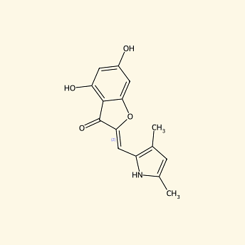 Cc1cc(C)c(/C=C2\Oc3cc(O)cc(O)c3C2=O)[nH]1